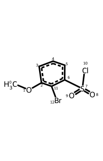 COc1cccc(S(=O)(=O)Cl)c1Br